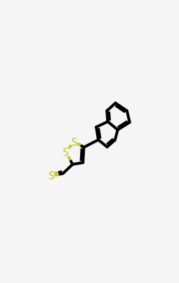 S=CC1C=C(c2ccc3ccccc3c2)SS1